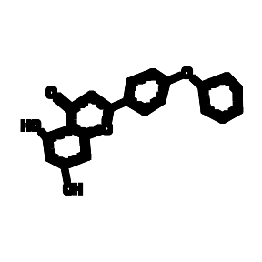 O=c1cc(-c2ccc(Oc3ccccc3)cc2)oc2cc(O)cc(O)c12